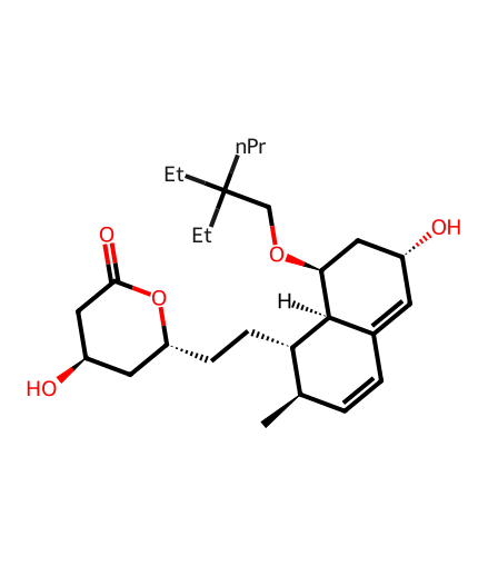 CCCC(CC)(CC)CO[C@H]1C[C@H](O)C=C2C=C[C@@H](C)[C@H](CC[C@@H]3C[C@@H](O)CC(=O)O3)[C@H]21